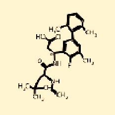 C=CNC(CC(C)(C)C)C(=O)N[C@@H](CC(=O)O)c1cc(-c2c(C)cccc2C)cc(C)c1F